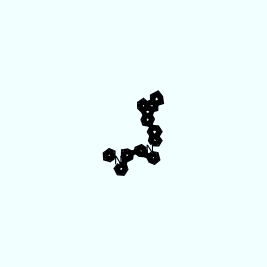 c1ccc(-n2c3ccccc3c3cc(-c4ccc5c(c4)c4ccccc4n5-c4ccc5ccc(-c6ccc7c(c6)-c6cc8ccccc8c8cccc-7c68)cc5c4)ccc32)cc1